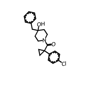 O=C(N1CCC(O)(Cc2ccccc2)CC1)C1(c2ccc(Cl)cc2)CC1